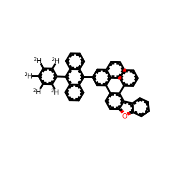 [2H]c1c([2H])c([2H])c(-c2c3ccccc3c(-c3cc(-c4ccc5oc6ccccc6c5c4-c4ccccc4)c4ccccc4c3)c3ccccc23)c([2H])c1[2H]